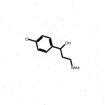 CNCCC(O)c1ccc(Cl)cc1